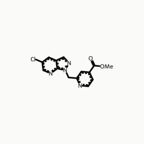 COC(=O)c1ccnc(Cn2ncc3cc(Cl)cnc32)c1